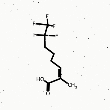 CC(=CCCCC(F)(F)C(F)(F)F)C(=O)O